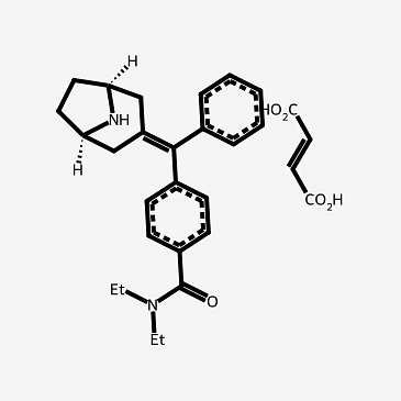 CCN(CC)C(=O)c1ccc(/C(=C2\C[C@H]3CC[C@@H](C2)N3)c2ccccc2)cc1.O=C(O)/C=C/C(=O)O